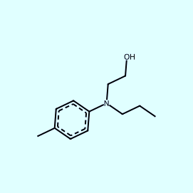 CCCN(CCO)c1ccc(C)cc1